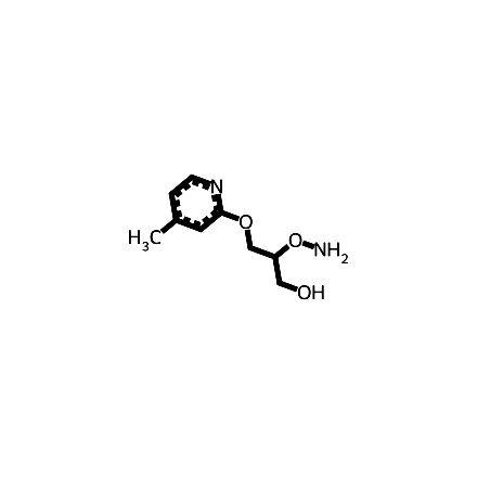 Cc1ccnc(OCC(CO)ON)c1